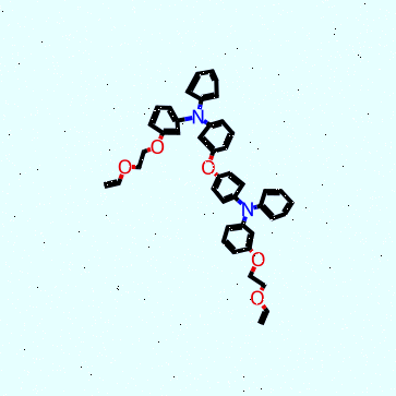 C=COCCOc1cccc(N(c2ccccc2)c2ccc(Oc3cccc(N(c4ccccc4)c4cccc(OCCOC=C)c4)c3)cc2)c1